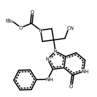 CC(C)(C)OC(=O)N1CC(CC#N)(n2nc(Nc3ccccc3)c3c(=O)[nH]ccc32)C1